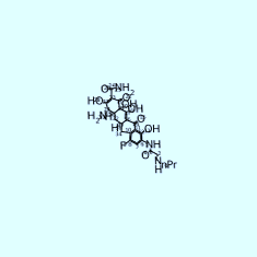 CCCNCC(=O)Nc1cc(F)c2c(c1O)C(=O)C1=C(O)[C@]3(O)C(=O)C(C(N)=O)=C(O)[C@@H](N)[C@@H]3C[C@@H]1C2